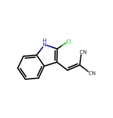 N#CC(C#N)=Cc1c(Cl)[nH]c2ccccc12